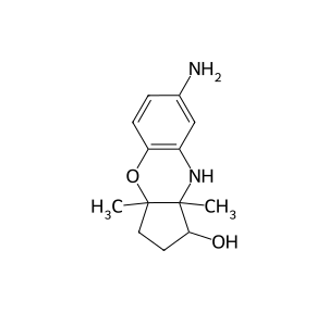 CC12CCC(O)C1(C)Nc1cc(N)ccc1O2